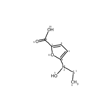 CSN(O)c1ccc(C(=O)O)o1